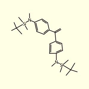 C=C(c1ccc(N(C)[Si](C)(C)C(C)(C)C)cc1)c1ccc(N(C)[Si](C)(C)C(C)(C)C)cc1